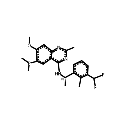 COc1cc2nc(C)nc(N[C@H](C)c3cccc(C(F)F)c3C)c2cc1P(C)C